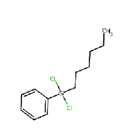 CCCCCC[Si](Cl)(Cl)c1ccccc1